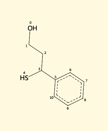 OCCC(S)c1ccccc1